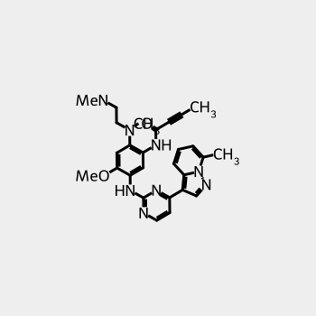 CC#CC(=O)Nc1cc(Nc2nccc(-c3cnn4c(C)cccc34)n2)c(OC)cc1N(C)CCNC